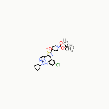 CC(C)(C)OC(=O)N1CCC(O)(c2nc(-c3cccc(Cl)c3)c(-c3ccnc(NC4CCCCC4)n3)s2)CC1